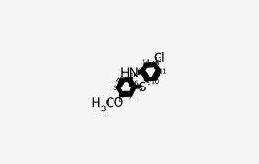 COc1ccc2c(c1)Sc1ccc(Cl)cc1N2